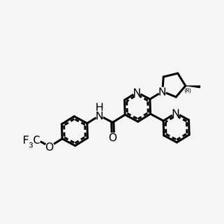 C[C@@H]1CCN(c2ncc(C(=O)Nc3ccc(OC(F)(F)F)cc3)cc2-c2ccccn2)C1